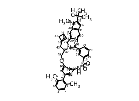 Cc1cccc(C)c1-c1cc2nc(n1)NS(=O)(=O)c1cccc(c1)C(=O)N(Cc1ncc3cc(C(C)(C)C)n(C)c3n1)[C@H](CC13CC(C1)C3)CO2